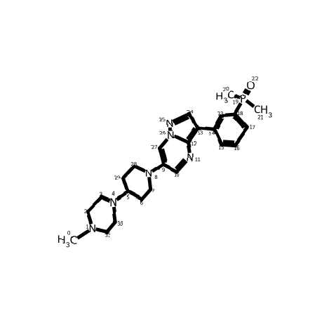 CN1CCN(C2CCN(c3cnc4c(-c5cccc(P(C)(C)=O)c5)cnn4c3)CC2)CC1